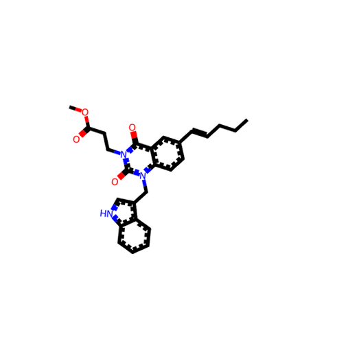 CCCC=Cc1ccc2c(c1)c(=O)n(CCC(=O)OC)c(=O)n2Cc1c[nH]c2ccccc12